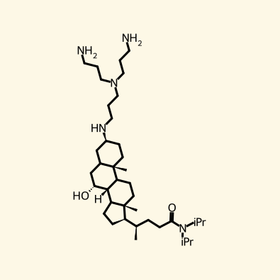 CC(C)N(C(=O)CC[C@@H](C)[C@H]1CCC2[C@H]3C(CC[C@@]21C)[C@@]1(C)CC[C@H](NCCCN(CCCN)CCCN)CC1C[C@H]3O)C(C)C